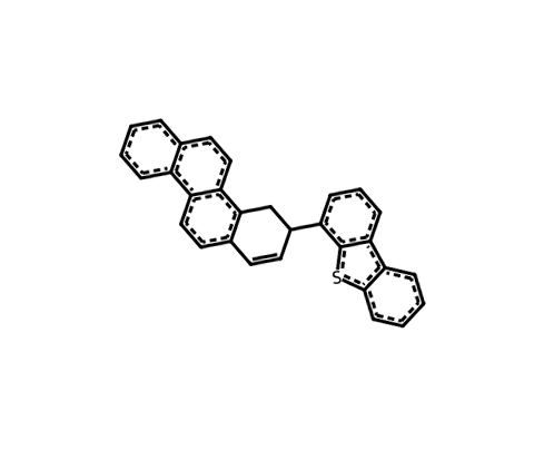 C1=CC(c2cccc3c2sc2ccccc23)Cc2c1ccc1c2ccc2ccccc21